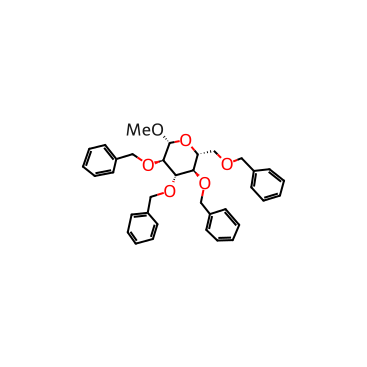 CO[C@@H]1O[C@H](COCc2ccccc2)[C@@H](OCc2ccccc2)[C@H](OCc2ccccc2)[C@H]1OCc1ccccc1